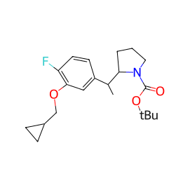 CC(c1ccc(F)c(OCC2CC2)c1)C1CCCN1C(=O)OC(C)(C)C